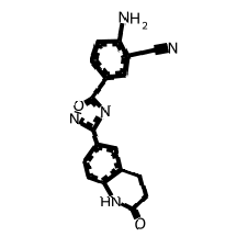 N#Cc1cc(-c2nc(-c3ccc4c(c3)CCC(=O)N4)no2)ccc1N